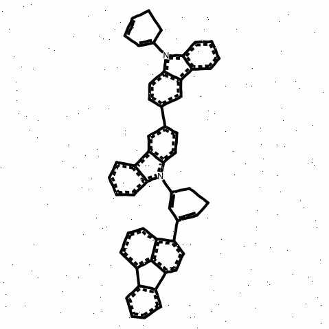 C1=CCCC(n2c3ccccc3c3cc(-c4ccc5c(c4)c4ccccc4n5C4=CC(c5ccc6c7c(cccc57)-c5ccccc5-6)=CCC4)ccc32)=C1